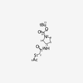 CC(=O)SCC(=O)N[C@H]1CCN(C(=O)OC(C)(C)C)C1